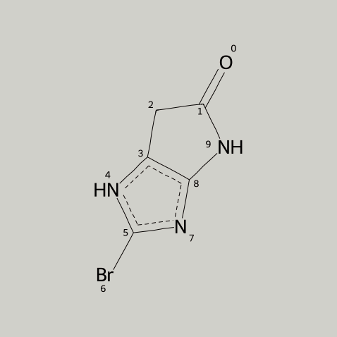 O=C1Cc2[nH]c(Br)nc2N1